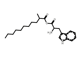 CCCCCCCCCC(C)C(=O)OC(=O)C(N)Cc1c[nH]c2ccccc12